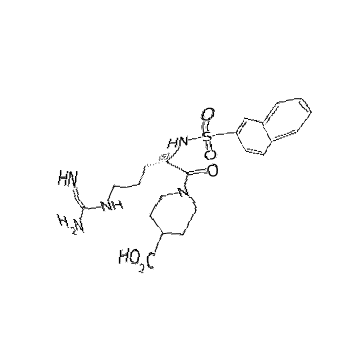 N=C(N)NCCC[C@H](NS(=O)(=O)c1ccc2ccccc2c1)C(=O)N1CCC(C(=O)O)CC1